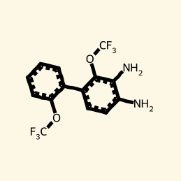 Nc1ccc(-c2ccccc2OC(F)(F)F)c(OC(F)(F)F)c1N